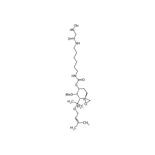 COC1C(OC(=O)NCCCCCCNC(=O)CNO)CC[C@]2(CO2)C1C(C)(C)OCC=C(C)C